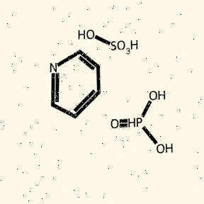 O=S(=O)(O)O.O=[PH](O)O.c1ccncc1